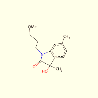 COCCCN1C(=O)C(C)(O)c2ccc(C)cc21